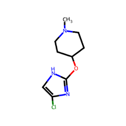 CN1CCC(Oc2nc(Cl)c[nH]2)CC1